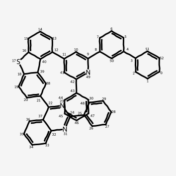 c1ccc(-c2cccc(-c3cc(-c4cccc5sc6ccc(-c7nc(-c8ccccc8)nc8ccccc78)cc6c45)cc(-c4ccccc4)n3)c2)cc1